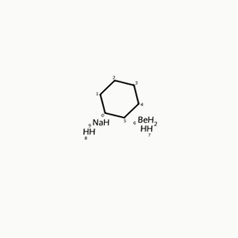 C1CCCCC1.[BeH2].[HH].[HH].[NaH]